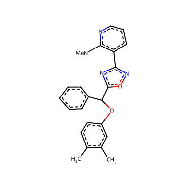 CNc1ncccc1-c1noc(C(Oc2ccc(C)c(C)c2)c2ccccc2)n1